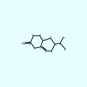 CC(C)C1CC=C2CC(=O)CCC2C1